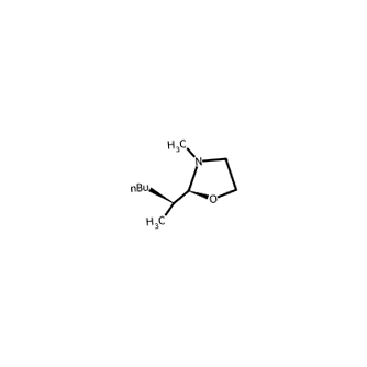 CCCC[C@H](C)[C@@H]1OCCN1C